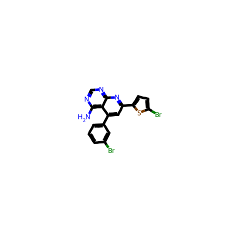 Nc1ncnc2nc(-c3ccc(Br)s3)cc(-c3cccc(Br)c3)c12